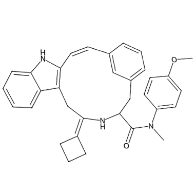 COc1ccc(N(C)C(=O)C2Cc3cccc(c3)/C=C\c3[nH]c4ccccc4c3CC(=C3CCC3)N2)cc1